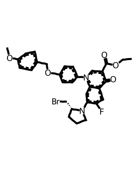 CCOC(=O)c1cn(-c2ccc(OCc3ccc(OC)cc3)cc2)c2cc(N3CCC[C@@H]3CBr)c(F)cc2c1=O